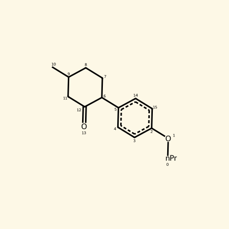 CCCOc1ccc(C2CCC(C)CC2=O)cc1